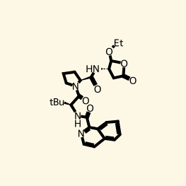 CCOC1OC(=O)C[C@@H]1NC(=O)[C@@H]1CCCN1C(=O)[C@@H](NC(=O)c1nccc2ccccc12)C(C)(C)C